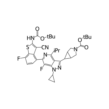 CC(C)c1nc(-c2ccc(F)c3sc(NC(=O)OC(C)(C)C)c(C#N)c23)c(F)c2c1c(C1C3CN(C(=O)OC(C)(C)C)CC31)nn2C1CC1